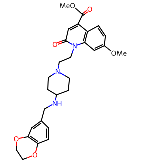 COC(=O)c1cc(=O)n(CCN2CCC(NCc3ccc4c(c3)OCCO4)CC2)c2cc(OC)ccc12